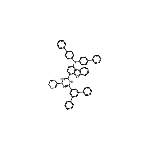 C1=CC(C2N=C(c3cc(-c4ccccc4)cc(-c4ccccc4)c3)NC(c3ccc(N(c4ccc(-c5ccccc5)cc4)c4ccc(-c5ccccc5)cc4)c4c3oc3ccccc34)N2)=CCC1